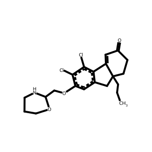 CCCC12CCC(=O)C=C1c1c(cc(OCC3NCCCO3)c(Cl)c1Cl)C2